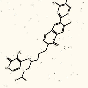 COc1cnc(-c2cc3ncn(CCCC(COC(F)F)Nc4cn[nH]c(=O)c4C(F)(F)F)c(=O)c3cc2F)nc1N